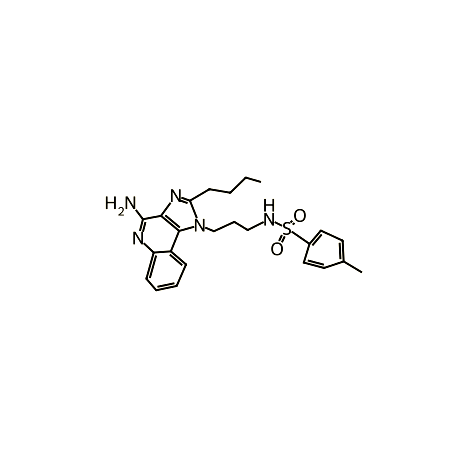 CCCCc1nc2c(N)nc3ccccc3c2n1CCCNS(=O)(=O)c1ccc(C)cc1